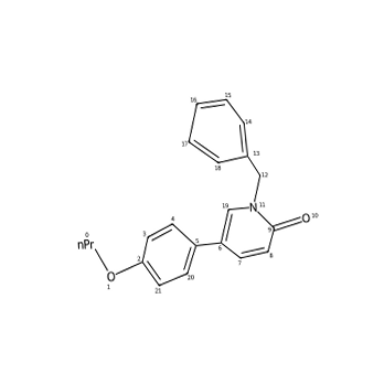 CCCOc1ccc(-c2ccc(=O)n(Cc3ccccc3)c2)cc1